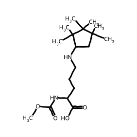 COC(=O)NC(CCCNC1CC(C)(C)C(C)(C)C1(C)C)C(=O)O